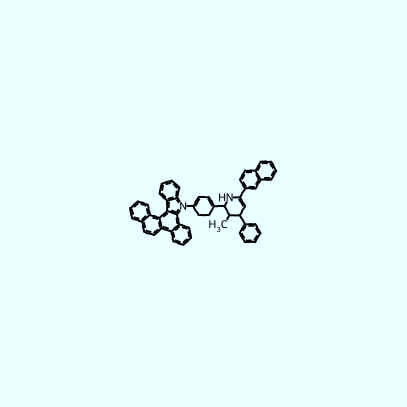 CC1C(C2=CC=C(n3c4ccccc4c4c5c6ccccc6ccc5c5ccccc5c43)CC2)NC(c2ccc3ccccc3c2)=CC1c1ccccc1